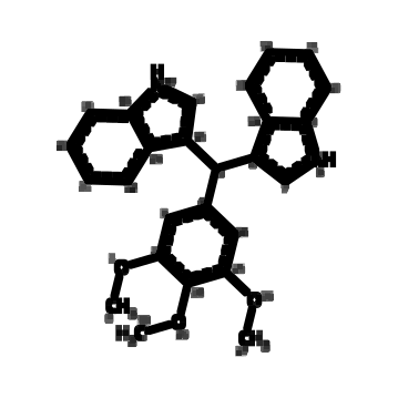 COc1cc(C(c2c[nH]c3ccccc23)c2c[nH]c3ccccc23)cc(OC)c1OC